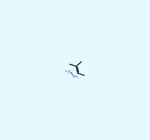 CC=C(C)C.NN